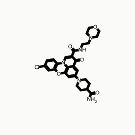 NC(=O)C1CCN(c2cc3c4c(c2)c(=O)c(C(=O)NCCN2CCOCC2)cn4-c2ccc(Cl)cc2O3)CC1